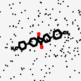 C[C@H]1CC[C@H](C2CCC3(CC2)C(=O)C2(CCC([C@H]4CC[C@H](C)CC4)CC2)C3=O)CC1